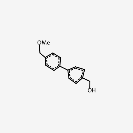 COCc1ccc(-c2ccc(CO)cc2)cc1